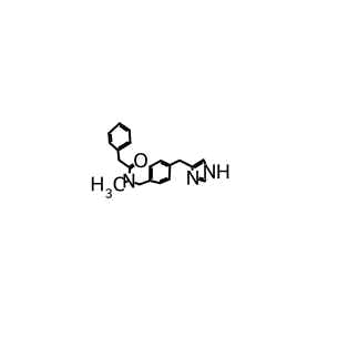 CN(Cc1ccc(Cc2c[nH]cn2)cc1)C(=O)Cc1ccccc1